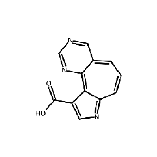 O=C(O)c1cnc2cccc3cncnc3c1-2